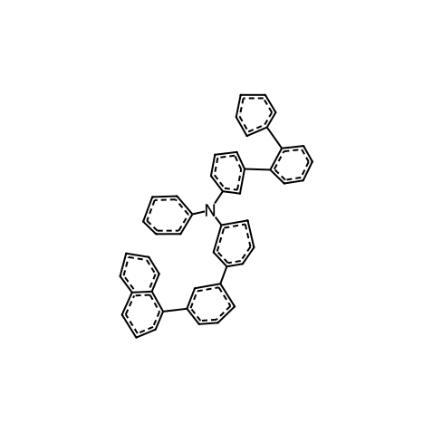 c1ccc(-c2ccccc2-c2cccc(N(c3ccccc3)c3cccc(-c4cccc(-c5cccc6ccccc56)c4)c3)c2)cc1